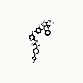 CN1CC(N2CCC(N(C)C(=O)Nc3cc(Oc4ccc(N(C(=O)C5(C(N)=O)CC5)c5ccccc5)c(F)c4)ccn3)CC2)C1